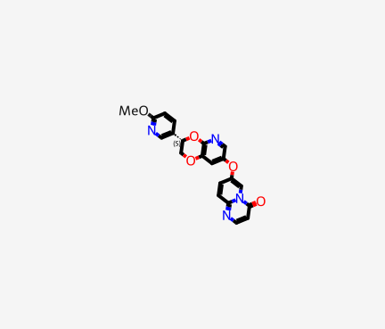 COc1ccc([C@H]2COc3cc(Oc4ccc5nccc(=O)n5c4)cnc3O2)cn1